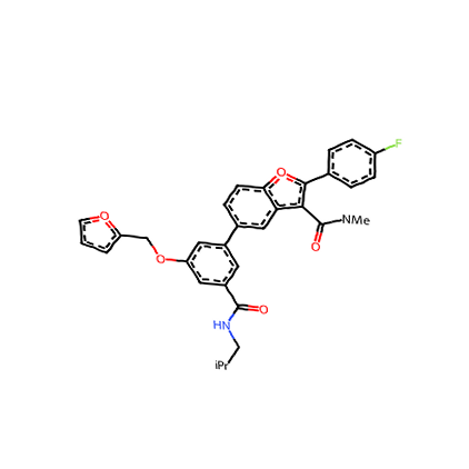 CNC(=O)c1c(-c2ccc(F)cc2)oc2ccc(-c3cc(OCc4ccco4)cc(C(=O)NCC(C)C)c3)cc12